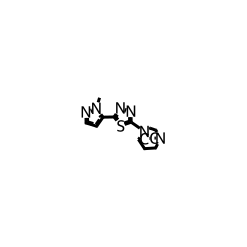 Cn1nccc1-c1nnc(N2CCN3CCC2CC3)s1